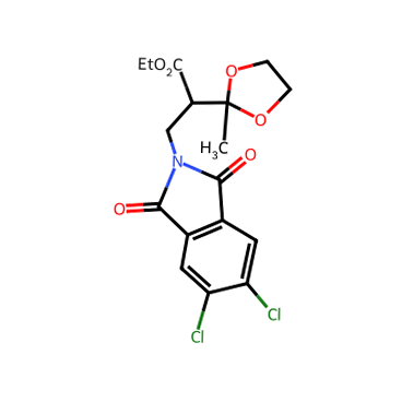 CCOC(=O)C(CN1C(=O)c2cc(Cl)c(Cl)cc2C1=O)C1(C)OCCO1